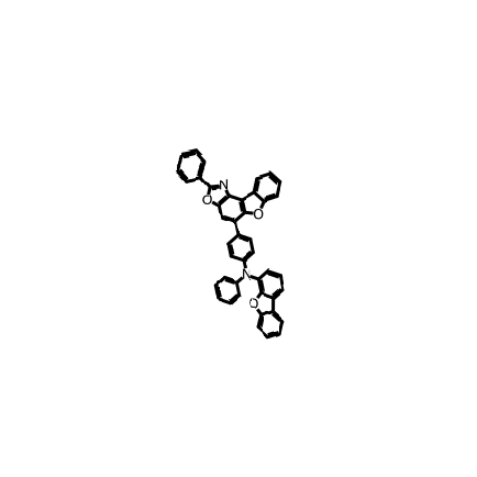 c1ccc(-c2nc3c(cc(-c4ccc(N(c5ccccc5)c5cccc6c5oc5ccccc56)cc4)c4oc5ccccc5c43)o2)cc1